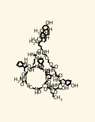 CCCC[C@H](NC(=O)[C@H](CO)NC(=O)[C@H](Cc1ccc(O)cc1)NC(=O)CCNC(=O)COCCOCCNC(=O)CC[C@@H](C)[C@H]1CC[C@H]2[C@@H]3CC[C@@H]4C[C@H](O)CC[C@]4(C)[C@H]3CC[C@]12C)C(=O)N[C@H]1CCC(=O)NCCCC[C@@H](C(N)=O)NC(=O)[C@H](Cc2c[nH]c3ccccc23)NC(=O)[C@H](CCCNC(=N)N)NC(=O)[C@@H](Cc2ccccc2)NC(=O)[C@@H]2C[C@@H](O)CN2C1=O